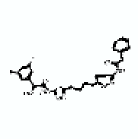 O=C(Cc1ccccc1)Nc1ccc(CCCCc2nnc(NC(=O)C(O)c3cc(F)cc(F)c3)s2)nn1